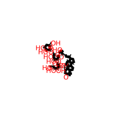 C[C@H](CC[C@@H](O[C@@H]1O[C@H](CO[C@@H]2O[C@H](CO)C[C@H](O)C2O)[C@@H](O)[C@H](O)[C@H]1O[C@@H]1O[C@H](CO)[C@@H](O)[C@H](O)[C@H]1O)C(C)(C)O)C1CC[C@@]2(C)C3CC=C4[C@@H](CCC(=O)C4(C)C)[C@]3(C)[C@H](O)C[C@]12C